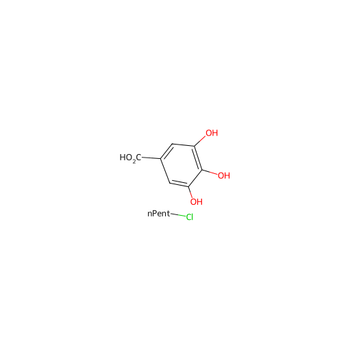 CCCCCCl.O=C(O)c1cc(O)c(O)c(O)c1